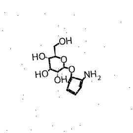 Nc1ccccc1OC1O[C@H](CO)[C@@H](O)[C@H](O)[C@H]1O